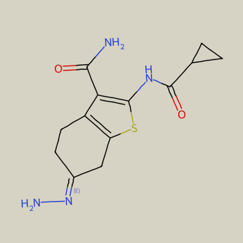 N/N=C1\CCc2c(sc(NC(=O)C3CC3)c2C(N)=O)C1